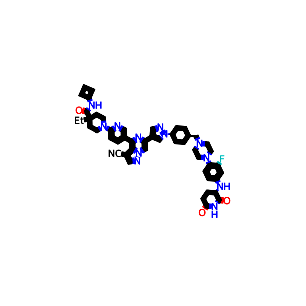 CCC1(C(=O)NC2CCC2)CCN(c2ccc(-c3nc(-c4cnn([C@H]5CC[C@H](CN6CCN(c7ccc(N[C@@H]8CCC(=O)NC8=O)cc7F)CC6)CC5)c4)cn4ncc(C#N)c34)cn2)CC1